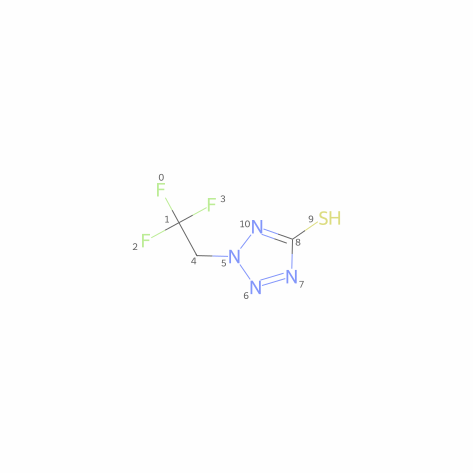 FC(F)(F)Cn1nnc(S)n1